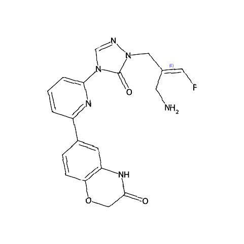 NC/C(=C\F)Cn1ncn(-c2cccc(-c3ccc4c(c3)NC(=O)CO4)n2)c1=O